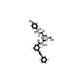 CCCN(C(=O)NC(CSCC(C)C)C(=O)NS(=O)(=O)c1ccc(Br)cc1)C(=O)c1cccc(C#Cc2ccccc2)c1